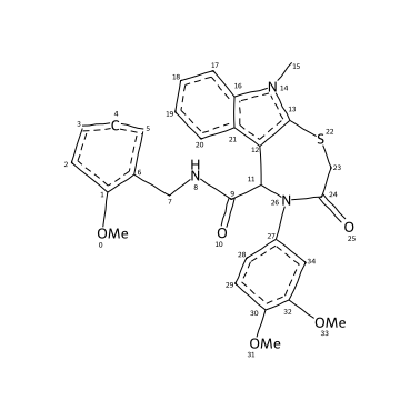 COc1ccccc1CNC(=O)C1c2c(n(C)c3ccccc23)SCC(=O)N1c1ccc(OC)c(OC)c1